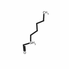 CCCCC[SiH2]C=O